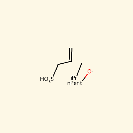 C=CCS(=O)(=O)O.CC(C)C.CCCCC[O]